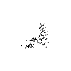 Cc1cc(NC(=O)C(=O)N2C[C@H](C)CC[C@H]2c2ccc(-c3nccs3)cn2)cnc1N